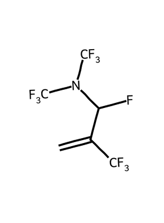 C=C(C(F)N(C(F)(F)F)C(F)(F)F)C(F)(F)F